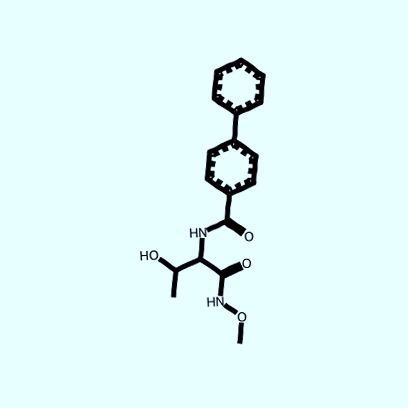 CONC(=O)C(NC(=O)c1ccc(-c2ccccc2)cc1)C(C)O